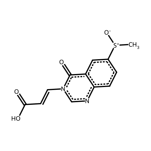 C[S+]([O-])c1ccc2ncn(C=CC(=O)O)c(=O)c2c1